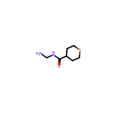 NCNC(=O)C1CCSCC1